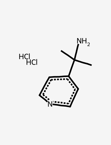 CC(C)(N)c1ccncc1.Cl.Cl